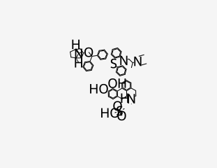 CCN(CC)C(C)CN1c2ccccc2Sc2ccccc21.CN1CCc2cccc3c2[C@H]1Cc1ccc(O)c(O)c1-3.CN1[C@@H]2CC[C@H]1C[C@@H](OC(c1ccccc1)c1ccccc1)C2.CS(=O)(=O)O